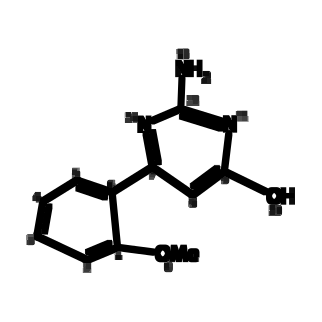 COc1ccccc1-c1cc(O)nc(N)n1